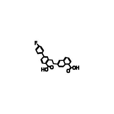 O=C(O)c1ccc(-c2ccc(F)cc2)cc1CCc1ccc2c(C(=O)O)cccc2c1